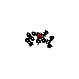 c1ccc(-c2cc(-c3ccccc3)nc(-c3ccc(-n4c5ccccc5c5ccccc54)c(-c4nc(-c5ccccc5)nc(-c5ccc(-c6cccc(N7c8ccccc8B8c9ccccc9N(c9ccccc9)c9cccc7c98)c6)cc5)n4)c3)n2)cc1